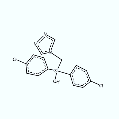 O[Si](Cn1cnnc1)(c1ccc(Cl)cc1)c1ccc(Cl)cc1